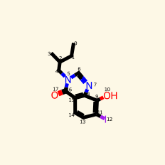 CCC(C)Cn1cnc2c(O)c(I)ccc2c1=O